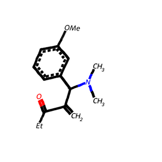 C=C([C](c1cccc(OC)c1)N(C)C)C(=O)CC